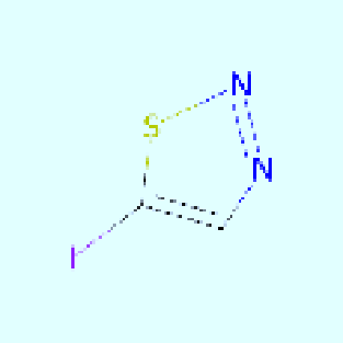 Ic1cnns1